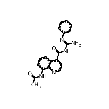 CC(=O)Nc1cccc2c(C(=O)NC(N)=Nc3ccccc3)ccnc12